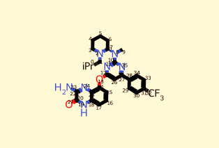 CC(C)CN1CCCC[C@H]1N(C)c1nc(Oc2cccc3[nH]c(=O)c(N)nc23)cc(-c2ccc(C(F)(F)F)cc2)n1